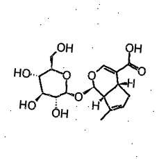 CC1=CC[C@H]2C(C(=O)O)=CO[C@H](O[C@@H]3O[C@H](CO)[C@@H](O)[C@H](O)[C@H]3O)[C@@H]12